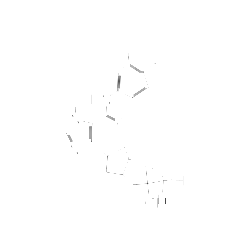 [2H]C([2H])([2H])C1(O)CC2CC(c3ncn(C)c3C(=O)Nc3ccc(F)c(Cl)c3)CC2C1